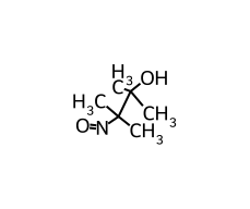 CC(C)(O)C(C)(C)N=O